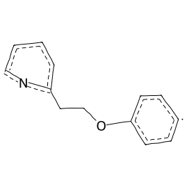 [c]1ccc(OCCc2ccccn2)cc1